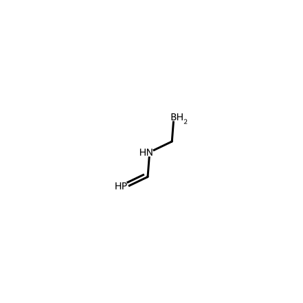 BCNC=P